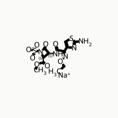 CCON=C(C(=O)N[C@@H]1C(=O)N(S(=O)(=O)[O-])[C@@H]1C(=O)OC)c1csc(N)n1.[Na+]